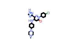 CN1CCN(c2ccc(Nc3cc(=O)n(-c4ccc(Cl)cc4)nc3-c3nc[nH]n3)cc2)CC1